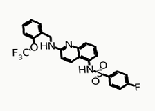 O=S(=O)(Nc1cccc2nc(NCc3ccccc3OC(F)(F)F)ccc12)c1ccc(F)cc1